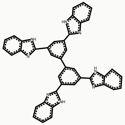 c1ccc2[nH]c(-c3cc(-c4cc(-c5nc6ccccc6[nH]5)cc(-c5nc6ccccc6[nH]5)c4)cc(-c4nc5ccccc5[nH]4)c3)nc2c1